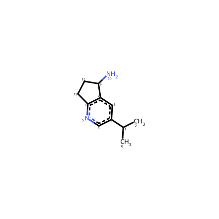 CC(C)c1cnc2c(c1)C(N)CC2